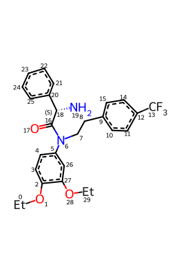 CCOc1ccc(N(CCc2ccc(C(F)(F)F)cc2)C(=O)[C@@H](N)c2ccccc2)cc1OCC